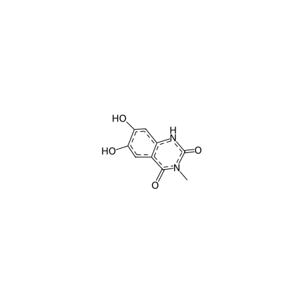 Cn1c(=O)[nH]c2cc(O)c(O)cc2c1=O